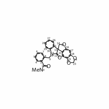 CNC(=O)c1ccccc1CN1C(=O)C2(COc3cc4c(cc32)OCO4)c2ccccc21